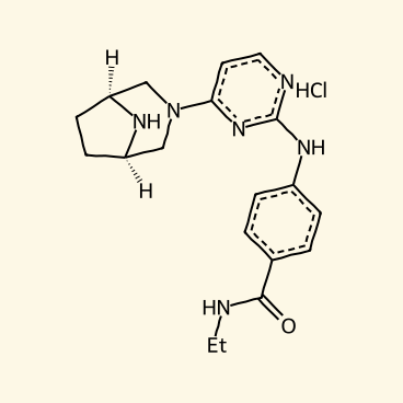 CCNC(=O)c1ccc(Nc2nccc(N3C[C@H]4CC[C@@H](C3)N4)n2)cc1.Cl